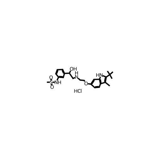 Cc1c(C(C)(C)C)[nH]c2cc(OCCNCC(O)c3cccc(NS(C)(=O)=O)c3)ccc12.Cl